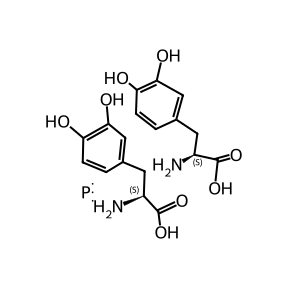 N[C@@H](Cc1ccc(O)c(O)c1)C(=O)O.N[C@@H](Cc1ccc(O)c(O)c1)C(=O)O.[P]